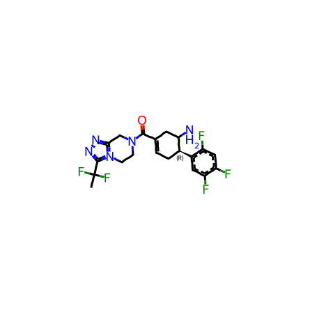 CC(F)(F)c1nnc2n1CCN(C(=O)C1=CC[C@H](c3cc(F)c(F)cc3F)C(N)C1)C2